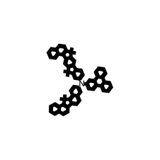 CC1(C)c2cc(N(c3ccc4c5c(ccc4c3)-c3ccc4ccccc4c3C5(C)C)c3ccc4c5ccccc5c5ccccc5c4c3)ccc2-c2cc3c(cc21)-c1c(ccc2ccccc12)C3(C)C